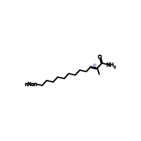 CCCCCCCCCCCCCCCCCC/C=C(\C)C(N)=O